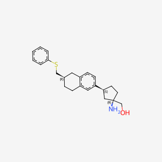 N[C@]1(CO)CC[C@H](c2ccc3c(c2)CC[C@@H](CSc2ccccc2)C3)C1